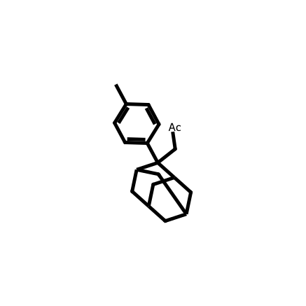 CC(=O)CC1(c2ccc(C)cc2)C2CC3CC(C2)CC1C3